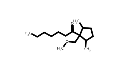 CCCCCCC(=O)C1(COC)C(C)CCC1C